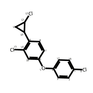 Clc1ccc(Oc2ccc(C3CC3Cl)c(Cl)c2)cc1